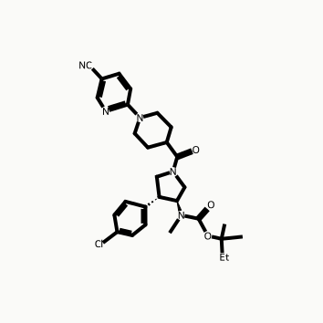 CCC(C)(C)OC(=O)N(C)[C@@H]1CN(C(=O)C2CCN(c3ccc(C#N)cn3)CC2)C[C@H]1c1ccc(Cl)cc1